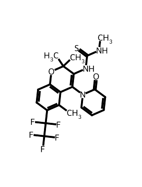 CNC(=S)NC1=C(n2ccccc2=O)c2c(ccc(C(F)(F)C(F)(F)F)c2C)OC1(C)C